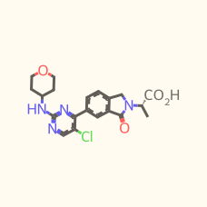 C[C@@H](C(=O)O)N1Cc2ccc(-c3nc(NC4CCOCC4)ncc3Cl)cc2C1=O